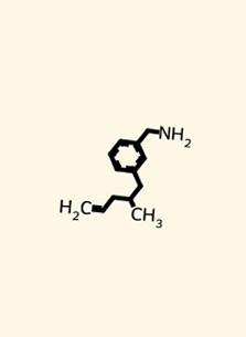 C=CCC(C)Cc1cccc(CN)c1